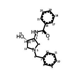 O=C(N[C@H]1CN(Cc2ccccc2)C[C@@H]1O)c1ccccc1